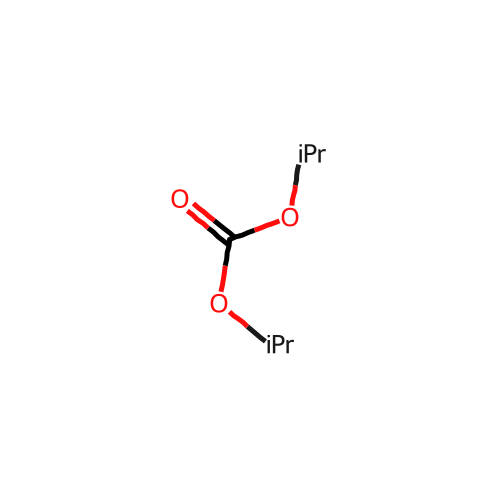 [CH2]C(C)OC(=O)OC(C)C